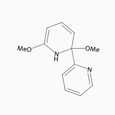 COC1=CC=CC(OC)(c2ccccn2)N1